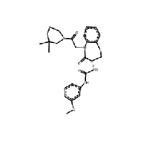 COc1cccc(NC(=O)N[C@H]2CSc3ccccc3N(CC(=O)N3CCCC(C)(C)C3)C2=O)c1